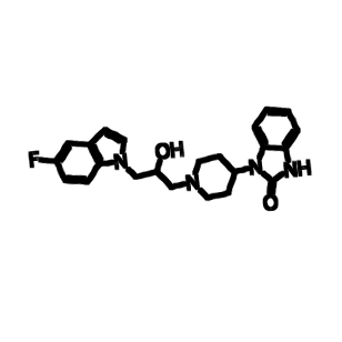 O=c1[nH]c2ccccc2n1C1CCN(CC(O)Cn2ccc3cc(F)ccc32)CC1